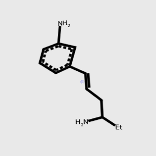 CCC(N)C/C=C/c1cccc(N)c1